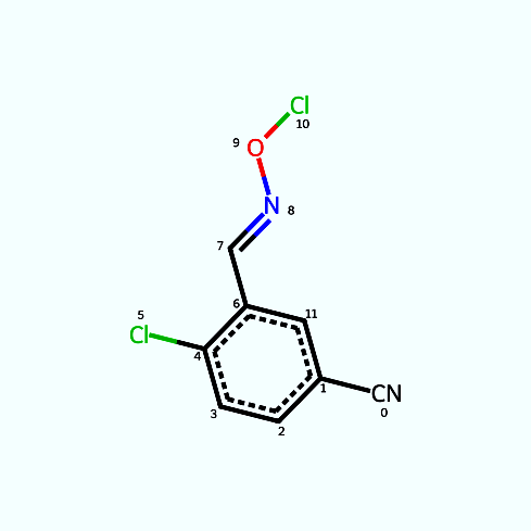 N#Cc1ccc(Cl)c(C=NOCl)c1